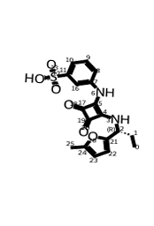 CC[C@@H](Nc1c(Nc2cccc(S(=O)(=O)O)c2)c(=O)c1=O)c1ccc(C)o1